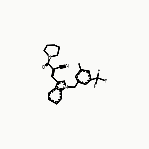 Cc1cc(Cn2cc(/C=C(\C#N)C(=O)N3CCCCC3)c3ccccc32)cc(C(F)(F)F)c1